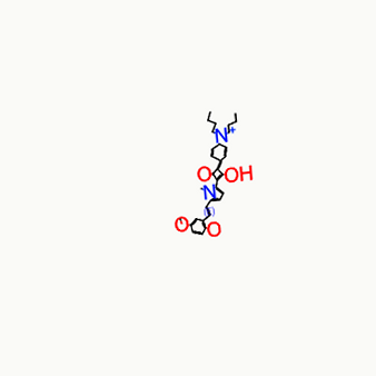 CCCC[N+](CCCC)=C1C=CC(=C2C(=O)C(c3ccc(/C=C/c4cc(OC)ccc4OC)n3C)=C2O)C=C1